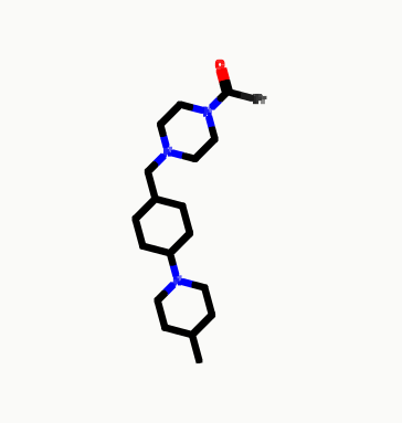 CC1CCN(C2CCC(CN3CCN(C(=O)C(C)C)CC3)CC2)CC1